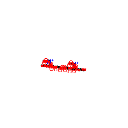 CCCCCCCCC(OC(=O)C[N+](C)(C)CCOC(C)=O)C(O)CCCCCCCC(=O)OCOC(=O)CCCCCCCC(O)C(CCCCCCCC)OC(=O)C[N+](C)(C)CCOC(C)=O